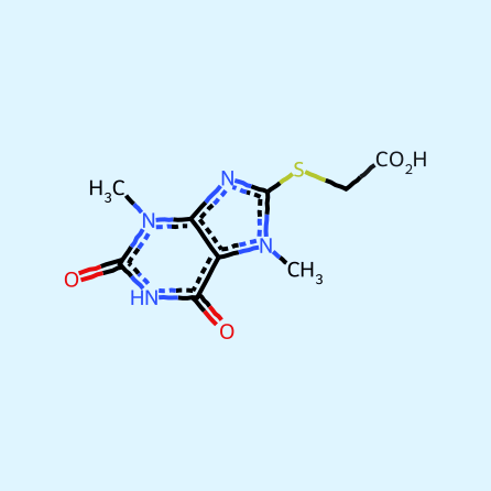 Cn1c(SCC(=O)O)nc2c1c(=O)[nH]c(=O)n2C